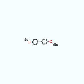 CCCCOc1ccc(-c2ccc(OC(C)CC)cc2)cc1